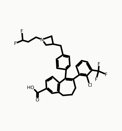 O=C(O)c1ccc2c(c1)CCCC(c1cccc(C(F)(F)F)c1Cl)=C2c1ccc(CC2CN(CCC(F)F)C2)cc1